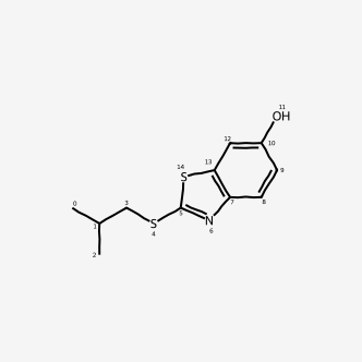 CC(C)CSc1nc2ccc(O)cc2s1